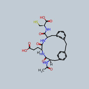 CC(=O)N[C@H]1Cc2ccc(cc2)Cc2cccc(c2)CC(C(=O)N[C@@H](CS)C(=O)O)NC(=O)[C@H](CCC(=O)O)NC1=O